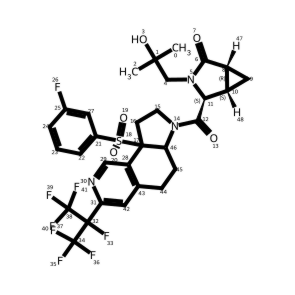 CC(C)(O)CN1C(=O)[C@@H]2C[C@@H]2[C@H]1C(=O)N1CCC2(S(=O)(=O)c3cccc(F)c3)c3cnc(C(F)(C(F)(F)F)C(F)(F)F)cc3CCC12